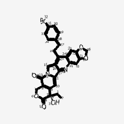 CC[C@@]1(O)C(=O)OCc2c1cc1n(c2=O)Cc2c-1nc1cc3c(cc1c2CCc1ccc(Br)cc1)OCO3